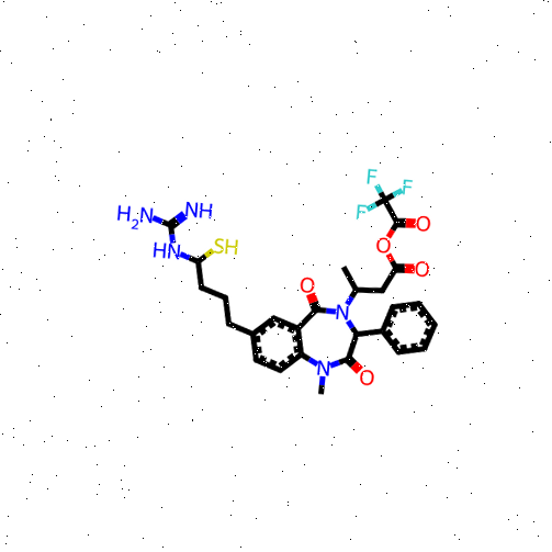 CC(CC(=O)OC(=O)C(F)(F)F)N1C(=O)c2cc(CCCC(S)NC(=N)N)ccc2N(C)C(=O)C1c1ccccc1